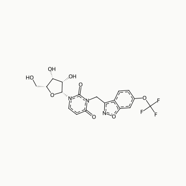 O=c1ccn([C@@H]2O[C@H](CO)[C@H](O)[C@@H]2O)c(=O)n1Cc1noc2cc(OC(F)(F)F)ccc12